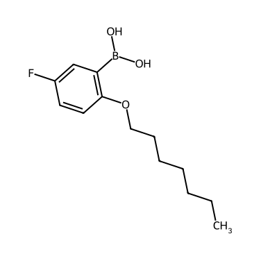 CCCCCCCOc1ccc(F)cc1B(O)O